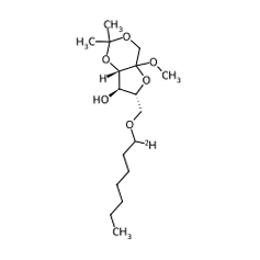 [2H]C(CCCCCC)OC[C@H]1OC2(OC)COC(C)(C)O[C@H]2[C@@H]1O